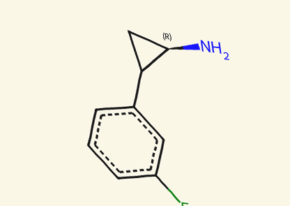 N[C@@H]1CC1c1cccc(F)c1